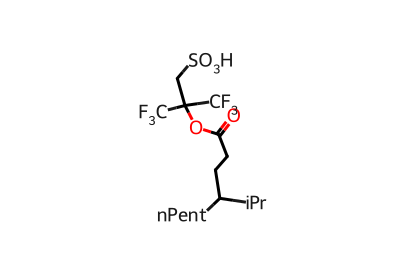 CCCCCC(CCC(=O)OC(CS(=O)(=O)O)(C(F)(F)F)C(F)(F)F)C(C)C